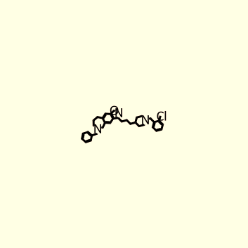 Clc1ccccc1CN1CCC(CCCc2noc3cc4c(cc23)CN(Cc2ccccc2)CCC4)CC1